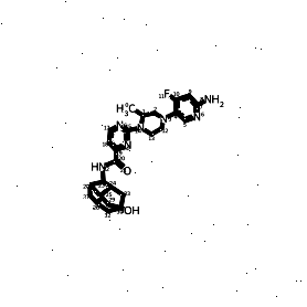 CC1CN(c2cnc(N)cc2F)CCN1c1nccc(C(=O)NC2C3CC4CC2CC(O)(C4)C3)n1